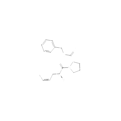 C/C=C\C[C@H](N)C(=O)N1CCC[C@H]1C(=O)OCc1ccccc1